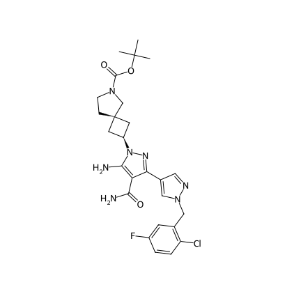 CC(C)(C)OC(=O)N1CC[C@]2(C1)C[C@H](n1nc(-c3cnn(Cc4cc(F)ccc4Cl)c3)c(C(N)=O)c1N)C2